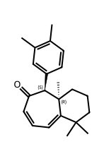 Cc1ccc([C@@H]2C(=O)C=CC=C3C(C)(C)CCC[C@@]32C)cc1C